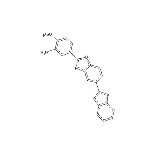 COc1ccc(-c2nc3cc(-c4cc5ccccc5s4)ccc3o2)cc1N